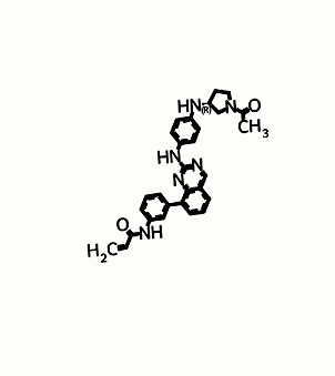 C=CC(=O)Nc1cccc(-c2cccc3cnc(Nc4ccc(N[C@@H]5CCN(C(C)=O)C5)cc4)nc23)c1